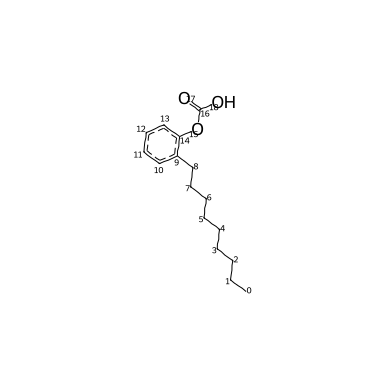 CCCCCCCCCc1ccccc1OC(=O)O